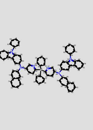 c1ccc(-n2c3ccccc3c3cc(N(c4ccc([Si](c5ccccc5)(c5ccccc5)c5ccc(N(c6ccc7ccccc7c6)c6ccc7c(c6)c6ccccc6n7-c6ccccc6)cn5)nc4)c4ccc5ccccc5c4)ccc32)cc1